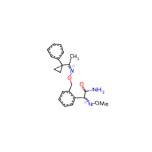 CO/N=C(\C(N)=O)c1ccccc1CO/N=C(/C)C1(c2ccccc2)CC1